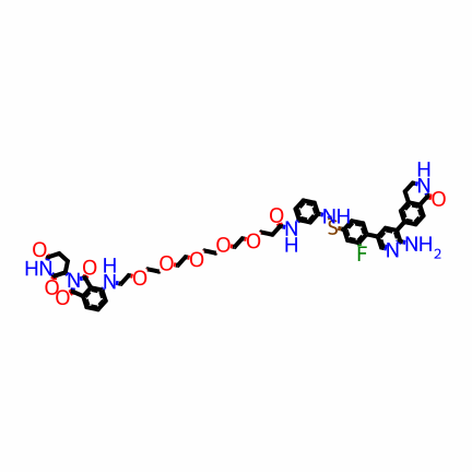 Nc1ncc(-c2ccc(SNc3cccc(NC(=O)CCOCCOCCOCCOCCOCCNc4cccc5c4C(=O)N(C4CCC(=O)NC4=O)C5=O)c3)cc2F)cc1-c1ccc2c(c1)CCNC2=O